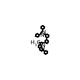 Cc1cc(-c2cccc(-c3cccc(-c4nc(-c5ccccc5)cc(-c5ccccc5)n4)c3)c2)nc2c1ccc1ccc(-c3ccccc3)nc12